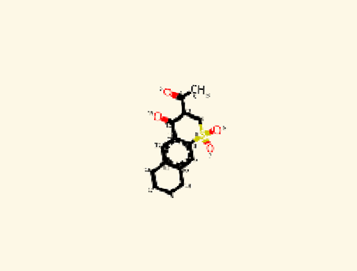 CC(=O)C1CS(=O)(=O)c2cc3c(cc2C1=O)CCCC3